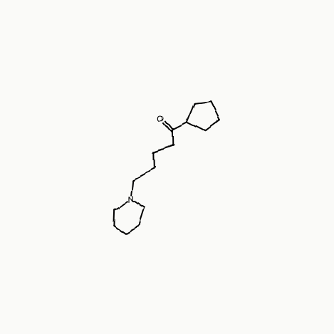 O=C(CCCCN1CCCCC1)C1CCCC1